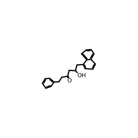 O=C(CCc1ccccc1)CC(O)Cc1cccc2ccccc12